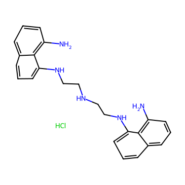 Cl.Nc1cccc2cccc(NCCNCCNc3cccc4cccc(N)c34)c12